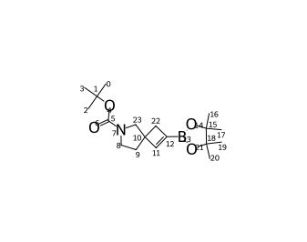 CC(C)(C)OC(=O)N1CCC2(C=C(B3OC(C)(C)C(C)(C)O3)C2)C1